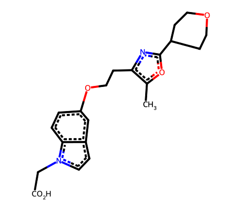 Cc1oc(C2CCOCC2)nc1CCOc1ccc2c(ccn2CC(=O)O)c1